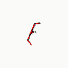 CCCCCCCC/C=C\CCCCCCCCCCCCN(CCCCCCCCCCCC/C=C\CCCCCCCC)C(N)=O